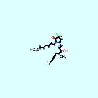 CC#CC[C@@H](C)[C@H](O)/C=C/[C@H]1CC(F)(F)C(=O)N1CCCCCCC(=O)O